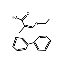 CCOC=C(C)C(=O)O.c1ccc(-c2ccccc2)cc1